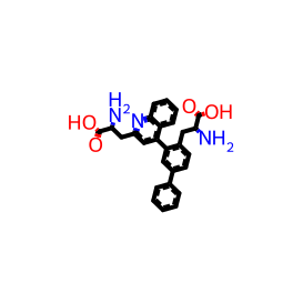 NC(Cc1cc(-c2cc(-c3ccccc3)ccc2CC(N)C(=O)O)c2ccccc2n1)C(=O)O